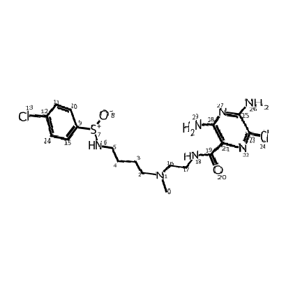 CN(CCCCN[S+]([O-])c1ccc(Cl)cc1)CCNC(=O)c1nc(Cl)c(N)nc1N